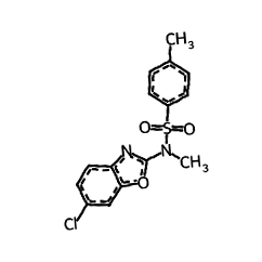 Cc1ccc(S(=O)(=O)N(C)c2nc3ccc(Cl)cc3o2)cc1